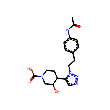 CC(=O)Nc1ccc(CCn2nncc2C2CCN(C(=O)O)CC2O)cc1